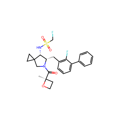 C[C@]1(C(=O)N2CC3(CC3)[C@H](NS(=O)(=O)CF)[C@@H]2Cc2cccc(-c3ccccc3)c2F)CCO1